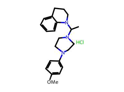 COc1ccc(N2CCN(C(C)N3CCCc4ccccc43)CC2)cc1.Cl